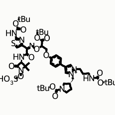 CC(C)(C)OC(=O)NCCCn1cc(-c2ccc(OCC(O/N=C(\C(=O)N[C@@H]3C(=O)N(OS(=O)(=O)O)C3(C)C)c3csc(NC(=O)OC(C)(C)C)n3)C(=O)OC(C)(C)C)cc2)c[n+]1C[C@@H]1CCN(C(=O)OC(C)(C)C)C1